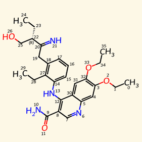 CCOc1cc2ncc(C(N)=O)c(Nc3cccc(CC(=N)[C@@H](CC)CO)c3CC)c2cc1OCC